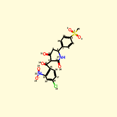 CS(=O)(=O)c1ccc(C2CC(=O)C(C(=O)c3ccc(Cl)cc3[N+](=O)[O-])C(=O)N2)cc1